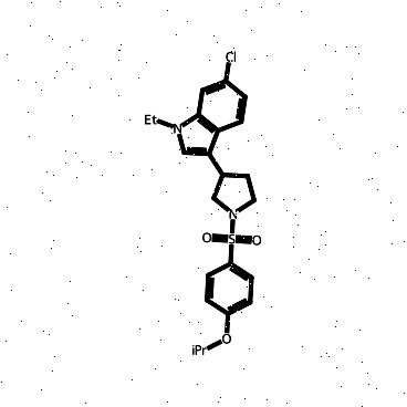 CCn1cc(C2CCN(S(=O)(=O)c3ccc(OC(C)C)cc3)C2)c2ccc(Cl)cc21